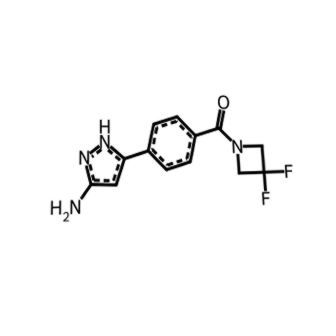 Nc1cc(-c2ccc(C(=O)N3CC(F)(F)C3)cc2)[nH]n1